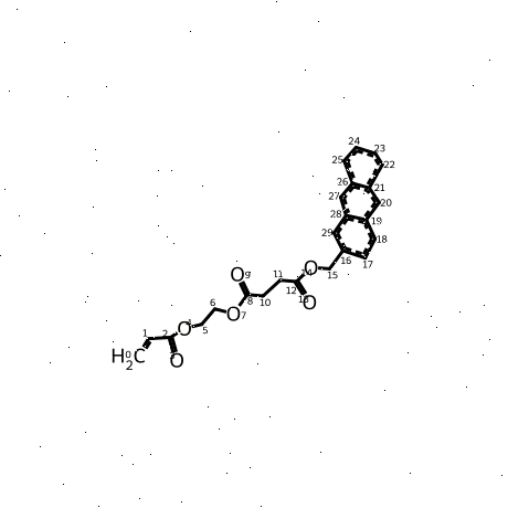 C=CC(=O)OCCOC(=O)CCC(=O)OCc1ccc2cc3ccccc3cc2c1